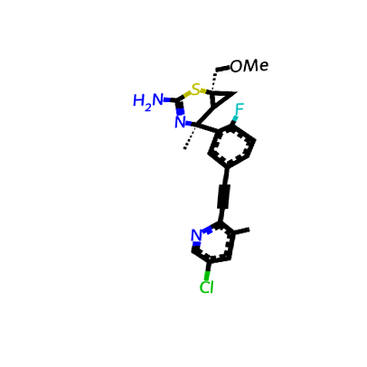 COC[C@]12CC1[C@@](C)(c1cc(C#Cc3ncc(Cl)cc3C)ccc1F)N=C(N)S2